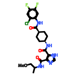 COCC(C)NC(=O)c1nc[nH]c1C(=O)N[C@H]1CC[C@H](C(=O)Nc2cc(F)c(F)cc2Cl)CC1